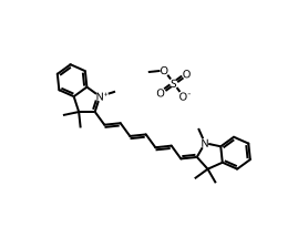 CN1C(=CC=CC=CC=CC2=[N+](C)c3ccccc3C2(C)C)C(C)(C)c2ccccc21.COS(=O)(=O)[O-]